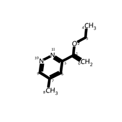 C=C(OCC)c1cc(C)cnn1